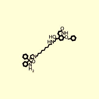 NC(=O)C(c1ccccc1)(c1ccccc1)[C@@H]1CCN(CCCCCCCCCNC[C@@H](O)c2ccc(OCc3ccccc3)c3[nH]c(=O)ccc23)C1